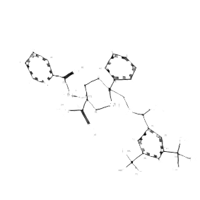 CC(OCC1(c2ccccc2)CC[C@@](NC(=O)c2ccccn2)(C(N)=O)CN1)c1cc(C(F)(F)F)cc(C(F)(F)F)c1